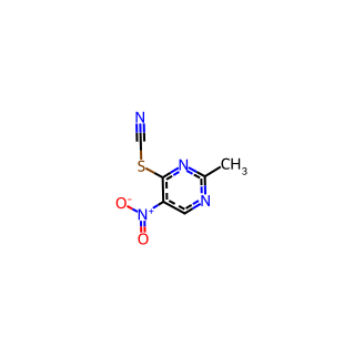 Cc1ncc([N+](=O)[O-])c(SC#N)n1